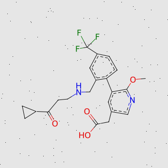 COc1ncc(CC(=O)O)cc1-c1ccc(C(F)(F)F)cc1CNCCC(=O)C1CC1